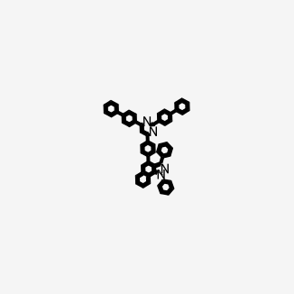 c1ccc(-c2ccc(-c3cc(-c4ccc(-c5cc6ccccc6c6c5c(-c5ccccc5)nn6-c5ccccc5)cc4)nc(-c4ccc(-c5ccccc5)cc4)n3)cc2)cc1